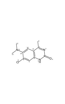 Cc1nc(=O)[nH]c2cc(Cl)c(N(C)C)cc12